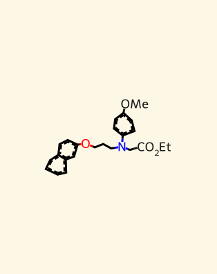 CCOC(=O)CN(CCCOc1ccc2ccccc2c1)c1ccc(OC)cc1